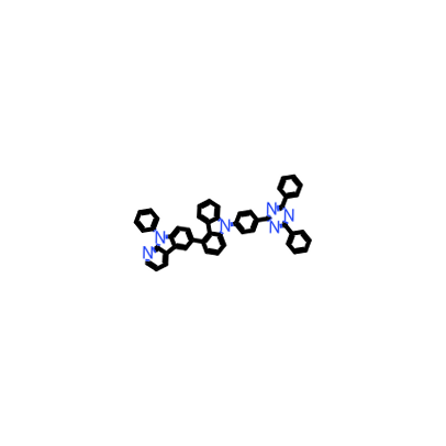 c1ccc(-c2nc(-c3ccccc3)nc(-c3ccc(-n4c5ccccc5c5c(-c6ccc7c(c6)c6cccnc6n7-c6ccccc6)cccc54)cc3)n2)cc1